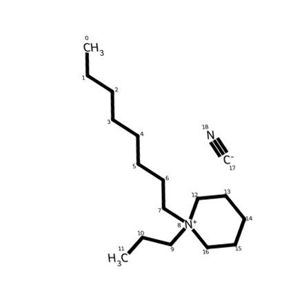 CCCCCCCC[N+]1(CCC)CCCCC1.[C-]#N